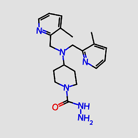 Cc1cccnc1CN(Cc1ncccc1C)C1CCN(C(=O)NN)CC1